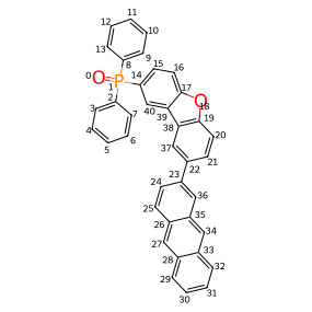 O=P(c1ccccc1)(c1ccccc1)c1ccc2oc3ccc(-c4ccc5cc6ccccc6cc5c4)cc3c2c1